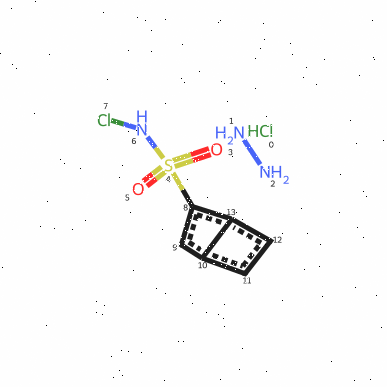 Cl.NN.O=S(=O)(NCl)c1cc2ccc1-2